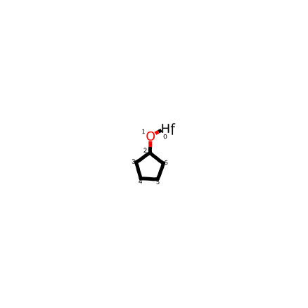 [Hf][O]C1CCCC1